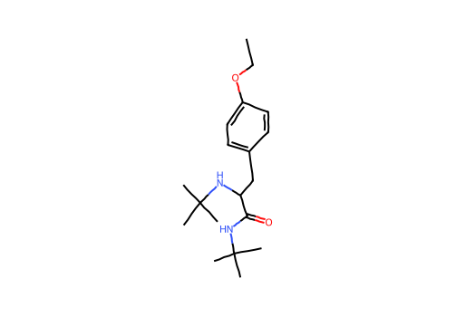 CCOc1ccc(CC(NC(C)(C)C)C(=O)NC(C)(C)C)cc1